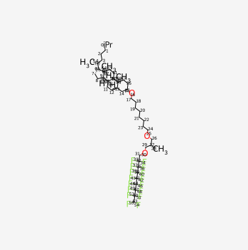 CC(C)CCC[C@@H](C)[C@H]1CC[C@H]2[C@@H]3CC=C4C[C@@H](OCCCCCCCCOCC(C)COCC(F)(F)C(F)(F)C(F)(F)C(F)(F)C(F)(F)C(F)(F)C(F)(F)C(F)F)CC[C@]4(C)[C@H]3CC[C@]12C